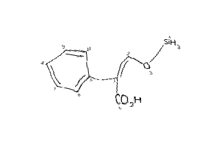 O=C(O)C(=CO[SiH3])c1ccccc1